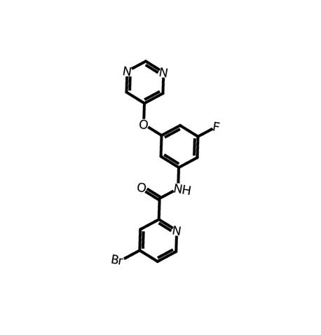 O=C(Nc1cc(F)cc(Oc2cncnc2)c1)c1cc(Br)ccn1